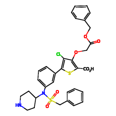 O=C(COc1c(C(=O)O)sc(-c2cccc(N(C3CCNCC3)S(=O)(=O)Cc3ccccc3)c2)c1Cl)OCc1ccccc1